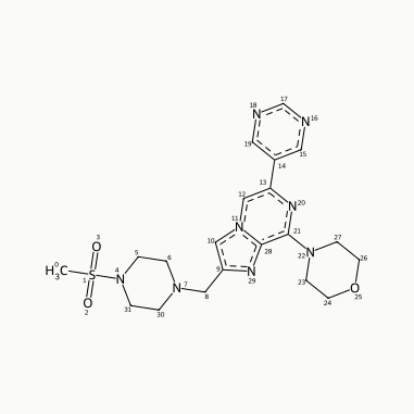 CS(=O)(=O)N1CCN(Cc2cn3cc(-c4cncnc4)nc(N4CCOCC4)c3n2)CC1